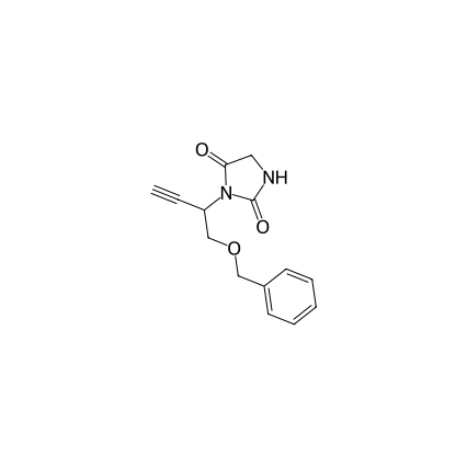 C#CC(COCc1ccccc1)N1C(=O)CNC1=O